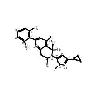 [2H]C1([2H])c2c(C)cc(-c3c(CC)cccc3CC)nc2CC(C)N1c1cc(C2CC2)nn1C